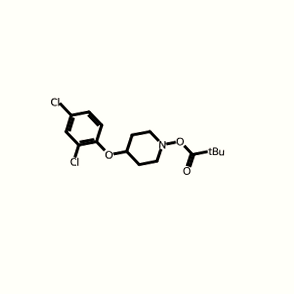 CC(C)(C)C(=O)ON1CCC(Oc2ccc(Cl)cc2Cl)CC1